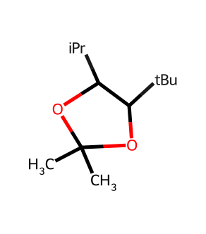 CC(C)C1OC(C)(C)OC1C(C)(C)C